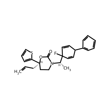 C=CC[C@@]1(c2cccs2)CCN([C@@H](C)C2(F)C=CC(c3ccccc3)C=C2)C(=O)O1